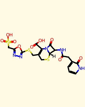 O=C(Cc1ccc[nH]c1=O)NC1C(=O)N2C(C(=O)O)=C(CSc3nnc(CS(=O)(=O)O)o3)CS[C@@H]12